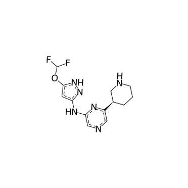 FC(F)Oc1cc(Nc2cncc([C@@H]3CCCNC3)n2)n[nH]1